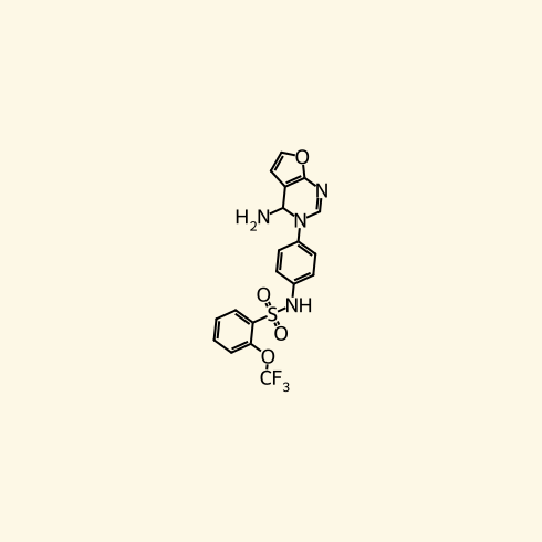 NC1c2ccoc2N=CN1c1ccc(NS(=O)(=O)c2ccccc2OC(F)(F)F)cc1